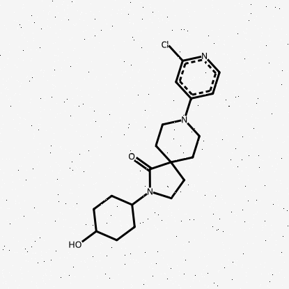 O=C1N(C2CCC(O)CC2)CCC12CCN(c1ccnc(Cl)c1)CC2